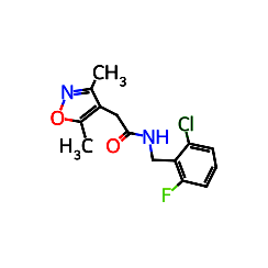 Cc1noc(C)c1CC(=O)NCc1c(F)cccc1Cl